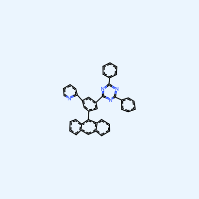 c1ccc(-c2nc(-c3ccccc3)nc(-c3cc(-c4ccccn4)cc(-c4c5ccccc5cc5ccccc45)c3)n2)cc1